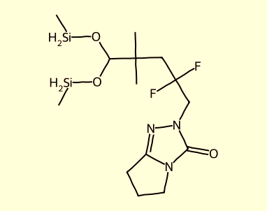 C[SiH2]OC(O[SiH2]C)C(C)(C)CC(F)(F)Cn1nc2n(c1=O)CCC2